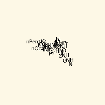 CCCCCCCC[C@H](NC(=O)[C@@H]1CCCN1C(=O)CCCCC)C(=O)N[C@@H](CC(C)C)C(=O)NC(C)(C)C(=O)N[C@@H](CC(C)C)C(=O)N[C@@H](CC(C)C)C(=O)NC(C)(C)C(=O)NC(C)(C)C(=O)NCCC(=O)NCCN(C)C